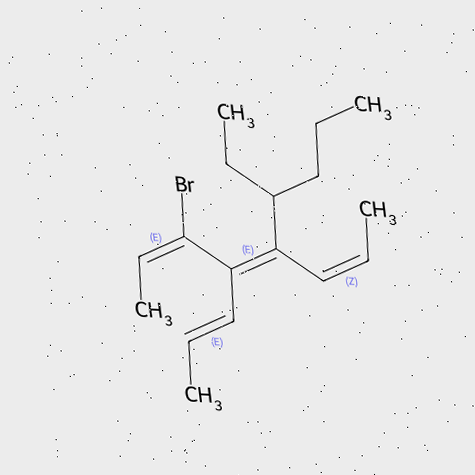 C\C=C/C(=C(\C=C\C)C(/Br)=C\C)C(CC)CCC